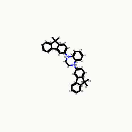 CC1(C)c2ccccc2-c2cc(N3CCN(c4ccc5c(c4)-c4ccccc4C5(C)C)c4ccccc43)ccc21